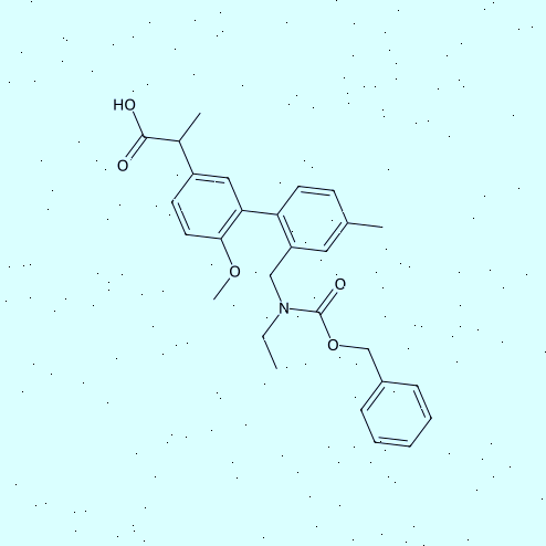 CCN(Cc1cc(C)ccc1-c1cc(C(C)C(=O)O)ccc1OC)C(=O)OCc1ccccc1